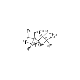 O=C(C(F)(CF)C(F)(F)F)C(F)(CF)C(F)(F)F